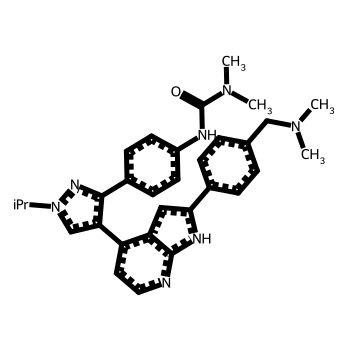 CC(C)n1cc(-c2ccnc3[nH]c(-c4ccc(CN(C)C)cc4)cc23)c(-c2ccc(NC(=O)N(C)C)cc2)n1